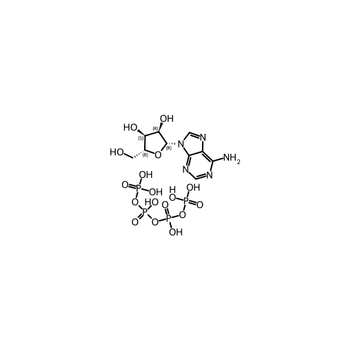 Nc1ncnc2c1ncn2[C@@H]1O[C@H](CO)[C@@H](O)[C@H]1O.O=P(O)(O)OP(=O)(O)OP(=O)(O)OP(=O)(O)O